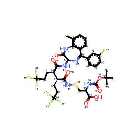 Cc1cccc2c1NC(=O)C(NC(=O)[C@H](CCC(F)(F)F)[C@H](CCC(F)(F)F)C(=O)NSCC(NC(=O)OC(C)(C)C)C(=O)O)N=C2c1cccc(F)c1